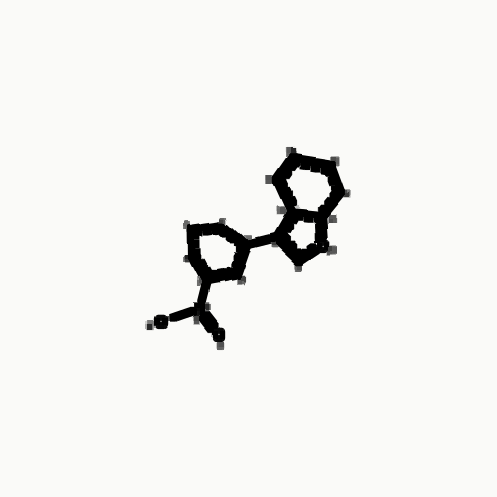 O=[N+]([O-])c1cccc(-c2coc3ccccc23)c1